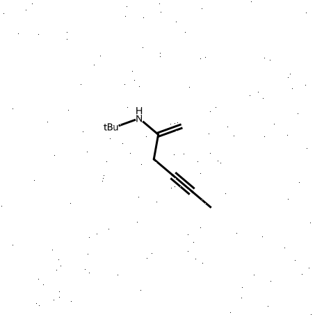 C=C(CC#CC)NC(C)(C)C